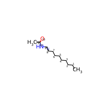 CCCCCCCC/C=C/NC(C)=O